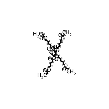 C=CC(=O)OCCCCC(=O)C[C@H]1[C@H](OC(=O)CCCCOC(=O)C=C)COC(OC(=O)CCCCOC(=O)C=C)[C@@H]1OC(=O)CCCCOC(=O)C=C